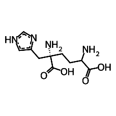 NC(CC[C@](N)(Cc1c[nH]cn1)C(=O)O)C(=O)O